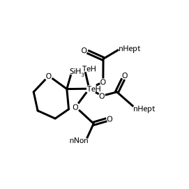 CCCCCCCCCC(=O)O[TeH]([TeH])(OC(=O)CCCCCCC)(OC(=O)CCCCCCC)C1([SiH3])CCCCO1